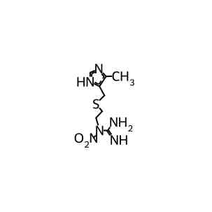 Cc1nc[nH]c1CSCCN(C(=N)N)[N+](=O)[O-]